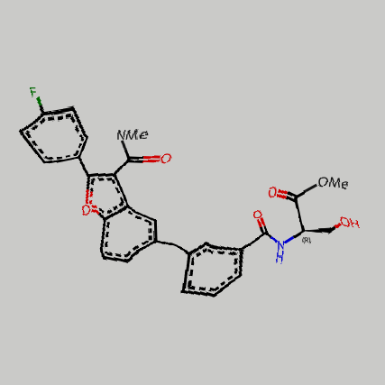 CNC(=O)c1c(-c2ccc(F)cc2)oc2ccc(-c3cccc(C(=O)N[C@H](CO)C(=O)OC)c3)cc12